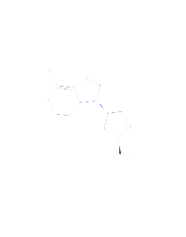 CC(C(=O)O)[C@@H]1C=C[C@H](n2cnc3c(N)ncnc32)C1